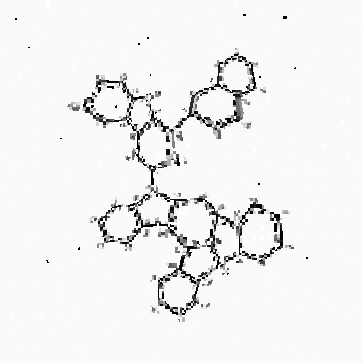 c1ccc2cc(-c3nc(-n4c5ccccc5c5c6c7ccccc7n7c8ccccc8c(cc54)c67)nc4c3oc3ccccc34)ccc2c1